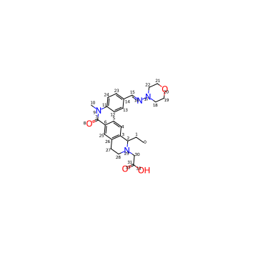 CCC1c2ccc(C(=O)N(C)c3ccc(C=NN4CCOCC4)cc3)cc2CCN1CC(=O)O